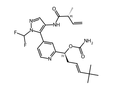 C=C[C@@H](C)C(=O)Nc1cnn(C(F)F)c1-c1ccnc([C@H](CC=CC(C)(C)C)OC(N)=O)c1